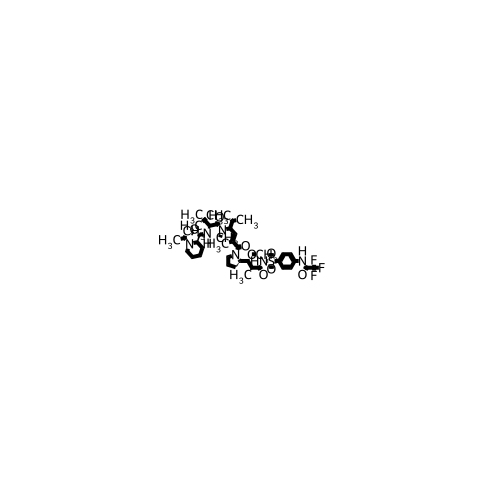 CO[C@H]([C@@H](C)C(=O)NS(=O)(=O)c1ccc(NC(=O)C(F)(F)F)cc1)[C@@H]1CCCN1C(=O)/C(C)=C/C(C(C)C)N(C)C(=O)[C@@H](NC(=O)[C@H]1CCCCN1C(C)C)C(C)(C)C